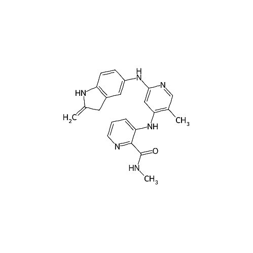 C=C1Cc2cc(Nc3cc(Nc4cccnc4C(=O)NC)c(C)cn3)ccc2N1